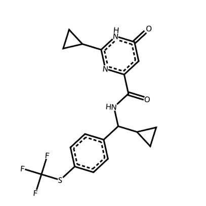 O=C(NC(c1ccc(SC(F)(F)F)cc1)C1CC1)c1cc(=O)[nH]c(C2CC2)n1